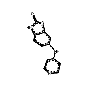 O=c1[nH]c2ccc(Nc3ccncc3)cc2o1